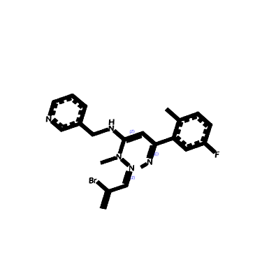 C=C(Br)/C=N\N(C)/C(=C\C(=N/C)c1cc(F)ccc1C)NCc1cccnc1